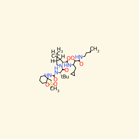 C=CCCNC(=O)C(=O)C(CC1CC1)NC(=O)[C@@H]1[C@@H]2[C@H](CN1C(=O)[C@@H](NC(=O)NC1(CS(C)(=O)=O)CCCCC1)C(C)(C)C)C2(C)C